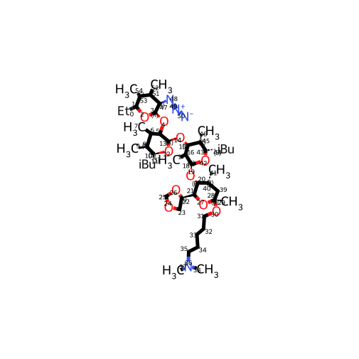 CCC1O[C@H](OC2C(C)[C@H](C)[C@H]([C@@H](C)CC)O[C@@H]2O[C@@H]2C(C)[C@@H](O[C@H]3C([C@H]4COCO4)O[C@](C)(OCCCCCN(C)C)C[C@H]3C)OC([C@@H](C)CC)[C@H]2C)[C@H](N=[N+]=[N-])C(C)[C@@H]1C